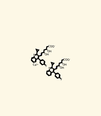 O=C([O-])C[C@H](O)C[C@@H](O)/C=C/c1c(C2CC2)nc2ccccc2c1-c1ccc(F)cc1.O=C([O-])C[C@H](O)C[C@@H](O)/C=C/c1c(C2CC2)nc2ccccc2c1-c1ccc(F)cc1.[Ca+2]